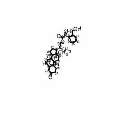 C/C(=N\OC(=O)N(C)c1ncccc1CO)[C@H]1CC[C@H]2[C@@H]3CCC4=CC(=O)CC[C@]4(C)[C@H]3CC[C@]12C